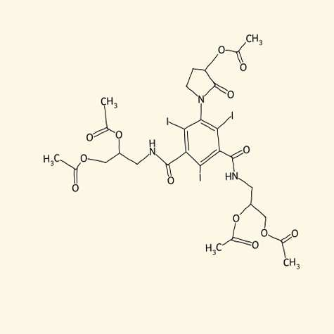 CC(=O)OCC(CNC(=O)c1c(I)c(C(=O)NCC(COC(C)=O)OC(C)=O)c(I)c(N2CCC(OC(C)=O)C2=O)c1I)OC(C)=O